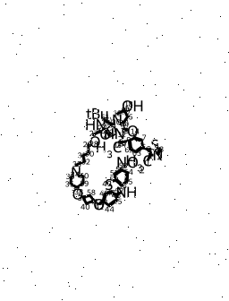 Cc1ncsc1-c1ccc([C@H](C)NC(=O)[C@@H]2C[C@@H](O)CN2C(=O)[C@@H](NC(=O)COCCCCCN2CCC(O[C@H]3C[C@H](Oc4ccc5c(c4)Sc4cc([N+](=O)[O-])ccc4N5)C3)CC2)C(C)(C)C)cc1